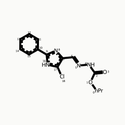 CCCOC(=O)NN=Cc1nc(-c2ccccc2)[nH]c1Cl